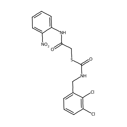 O=C(CSC(=O)NCc1cccc(Cl)c1Cl)Nc1ccccc1[N+](=O)[O-]